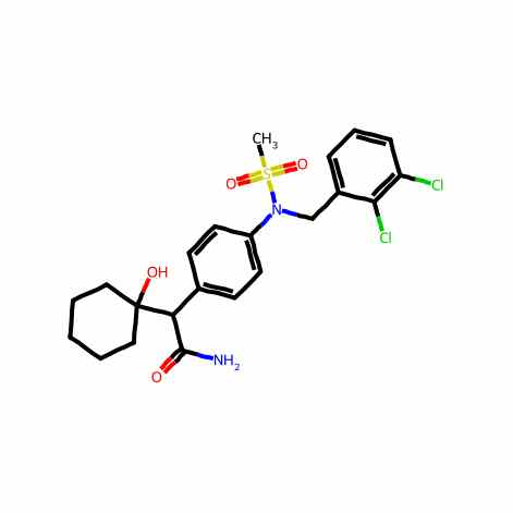 CS(=O)(=O)N(Cc1cccc(Cl)c1Cl)c1ccc(C(C(N)=O)C2(O)CCCCC2)cc1